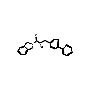 N[C@H](Cc1ccc(-c2ccccc2)cc1)C(=O)N1Cc2ccccc2C1